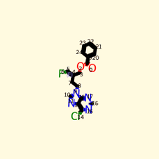 O=C(OC/C(=C/F)CCn1cnc2c(Cl)ncnc21)c1ccccc1